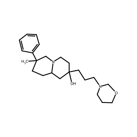 CC1(c2ccccc2)CCC2CC(O)(CCCN3CCCOC3)CCN2C1